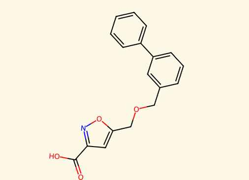 O=C(O)c1cc(COCc2cccc(-c3ccccc3)c2)on1